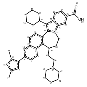 Cc1cc(-c2ccc3c4c(ccc3n2)-c2c(C3CCCCC3)c3ccc(C(=O)O)cc3n2CCN4CCN2CCCCC2)c(C)s1